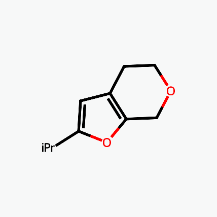 CC(C)c1cc2c(o1)COCC2